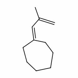 C=C(C)C=C1CCCCCC1